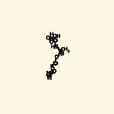 CCc1ccnc(N2CCOC3(CCN(Cc4cccc(CCOCCC(=O)N(C)CCNCCc5ccc(O)c6c5OCC(=O)N6)c4)CC3)C2)n1